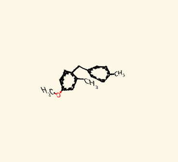 COc1ccc(Cc2ccc(C)cc2)c(C)c1